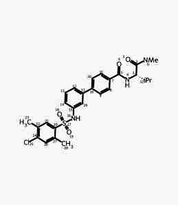 CNC(=O)[C@@H](NC(=O)c1ccc(-c2cccc(NS(=O)(=O)c3cc(C)c(Cl)cc3C)c2)cc1)C(C)C